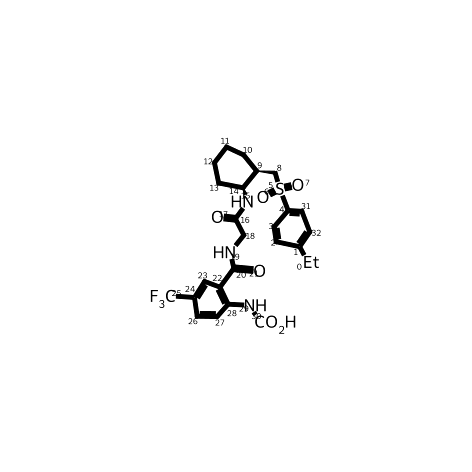 CCc1ccc(S(=O)(=O)C[C@@H]2CCCC[C@@H]2NC(=O)CNC(=O)c2cc(C(F)(F)F)ccc2NC(=O)O)cc1